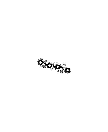 O=C(C(=O)c1ccc(C(c2ccc(C(=O)C(=O)c3ccccc3)cc2)(C(F)(F)F)C(F)(F)F)cc1)c1ccccc1